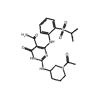 CC(=O)N1CCCC(Nc2nc(Nc3ccccc3S(=O)(=O)C(C)C)c(C(N)=O)c(=O)[nH]2)C1